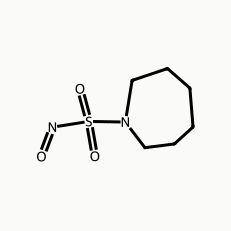 O=NS(=O)(=O)N1CCCCCC1